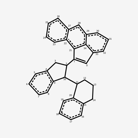 C1=C(C2Cc3ccccc3[C]2C2CCCc3ccccc32)c2c3ccccc3cc3cccc1c23